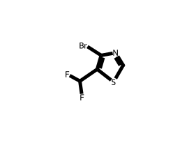 FC(F)c1scnc1Br